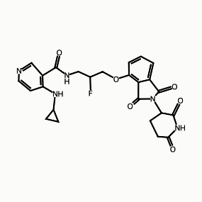 O=C1CCC(N2C(=O)c3cccc(OCC(F)CNC(=O)c4cnccc4NC4CC4)c3C2=O)C(=O)N1